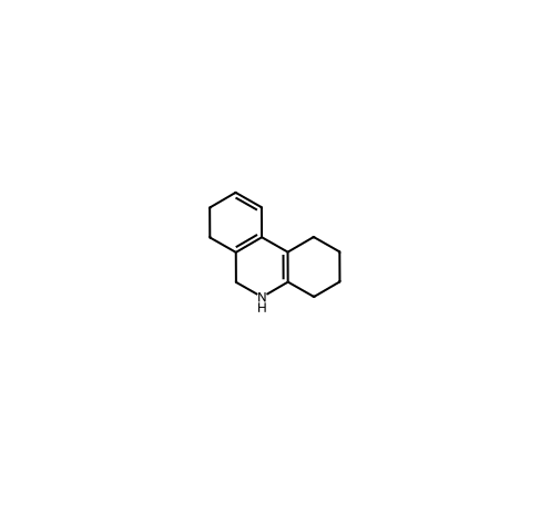 C1=CC2=C(CC1)CNC1=C2CCCC1